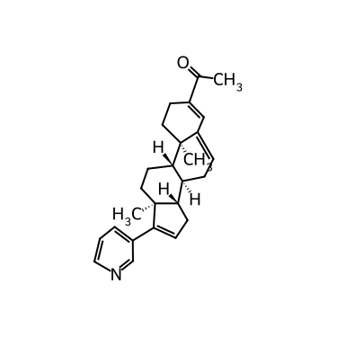 CC(=O)C1=CC2=CC[C@@H]3[C@H](CC[C@]4(C)C(c5cccnc5)=CC[C@@H]34)[C@@]2(C)CC1